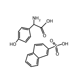 NC(C(=O)O)c1ccc(O)cc1.O=S(=O)(O)c1ccc2ccccc2c1